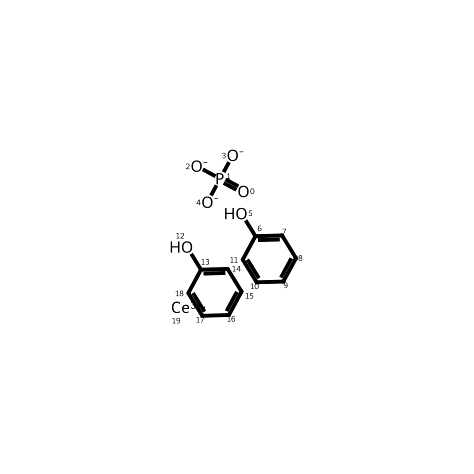 O=P([O-])([O-])[O-].Oc1ccccc1.Oc1ccccc1.[Ce+3]